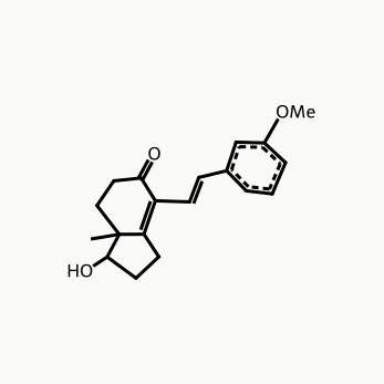 COc1cccc(C=CC2=C3CCC(O)C3(C)CCC2=O)c1